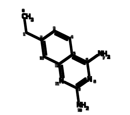 CCc1ccc2c(N)nc(N)nc2c1